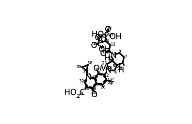 COc1c(N2C[C@@H]3CCCN(C(=O)CC(P(=O)(O)O)P(=O)(O)O)[C@@H]3C2)c(F)cc2c(=O)c(C(=O)O)cn(C3CC3)c12